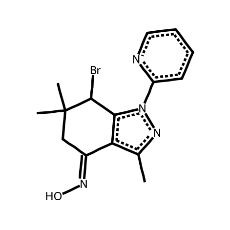 Cc1nn(-c2ccccn2)c2c1C(=NO)CC(C)(C)C2Br